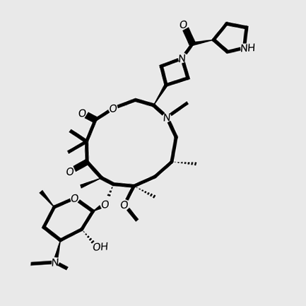 CO[C@]1(C)C[C@@H](C)CN(C)[C@H](C2CN(C(=O)[C@H]3CCNC3)C2)COC(=O)C(C)(C)C(=O)[C@H](C)[C@H]1O[C@@H]1O[C@H](C)C[C@H](N(C)C)[C@H]1O